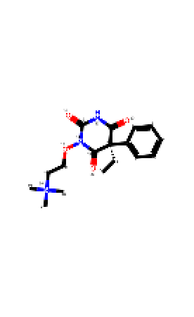 CC[C@@]1(c2ccccc2)C(=O)NC(=O)N(OCC[N+](C)(C)C)C1=O